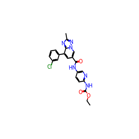 CCOC(=O)Nc1ccc(NC(=O)c2cc(-c3cccc(Cl)c3)c3nc(C)nn3c2)cn1